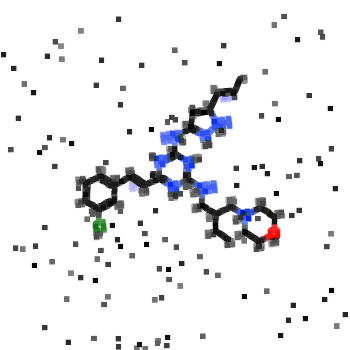 C/C=C/c1cc(Nc2nc(/C=C/c3cccc(Cl)c3)nc(NCC(CC)CN3CCOCC3)n2)n[nH]1